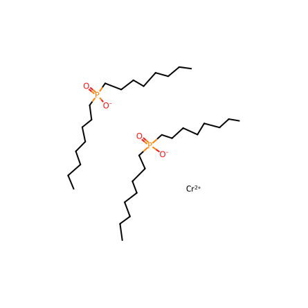 CCCCCCCCP(=O)([O-])CCCCCCCC.CCCCCCCCP(=O)([O-])CCCCCCCC.[Cr+2]